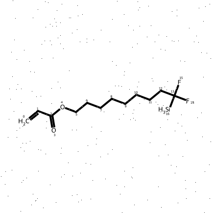 C=CC(=O)OCCCCCCCCC(F)(F)[SiH3]